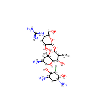 CNC1C(O[C@H]2OC(CO)[C@@H](NC(=N)N)C[C@@H]2O)O[C@H]2C[C@H](N)[C@@H](O[C@@H]3C(N)C[C@@H](N)[C@@H](O)C3F)OC2C1O